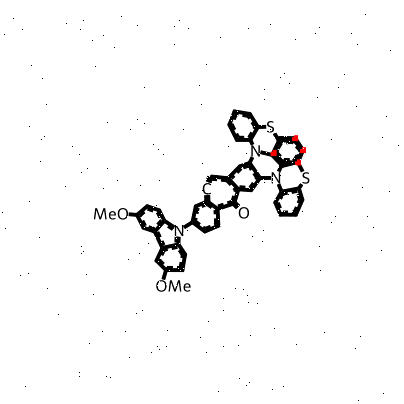 COc1ccc2c(c1)c1cc(OC)ccc1n2-c1ccc2c(=O)c3cc(N4c5ccccc5Sc5ccccc54)c(N4c5ccccc5Sc5ccccc54)cc3ccc2c1